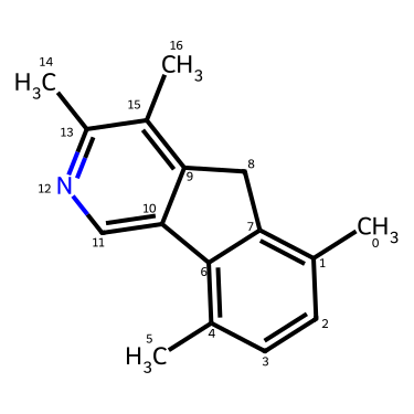 Cc1ccc(C)c2c1Cc1c-2cnc(C)c1C